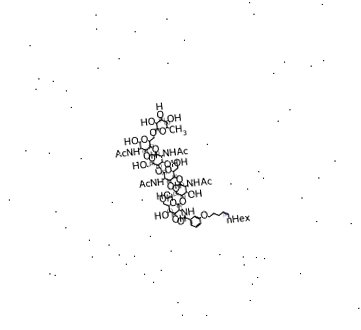 CCCCCC/C=C\CCCOc1cccc(C(=O)NC2[C@H](O[C@H]3C(O)C(NC(C)=O)[C@H](O[C@@H]4C(CO)O[C@@H](O[C@H]5C(O)C(NC(C)=O)[C@H](O[C@@H]6C(CO[C@@H]7OC(C)[C@@H](O)[C@@H](O)C7O)OC(O)C(NC(C)=O)[C@H]6O)O[C@H]5CO)C(NC(C)=O)[C@H]4O)O[C@H]3CO)OC(CO)[C@@H](O)[C@@H]2O)c1